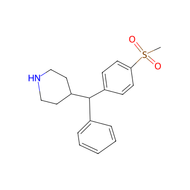 CS(=O)(=O)c1ccc(C(c2ccccc2)C2CCNCC2)cc1